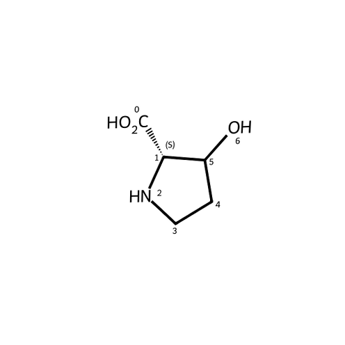 O=[14C](O)[C@H]1NCCC1O